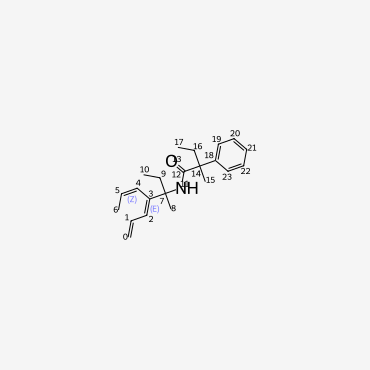 C=C/C=C(\C=C/C)C(C)(CC)NC(=O)C(C)(CC)c1ccccc1